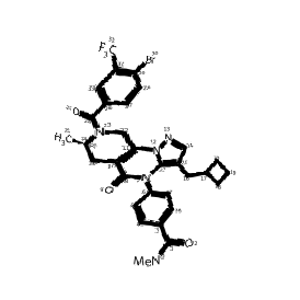 CNC(=O)c1ccc(-n2c(=O)c3c(n4ncc(CC5CCC5)c24)CN(C(=O)c2ccc(Br)c(C(F)(F)F)c2)[C@H](C)C3)cc1